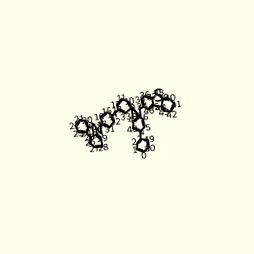 c1ccc(-c2ccc(N(c3cccc(-c4ccc(-n5c6ccccc6c6ccccc65)cc4)c3)c3ccc4sc5ccccc5c4c3)cc2)cc1